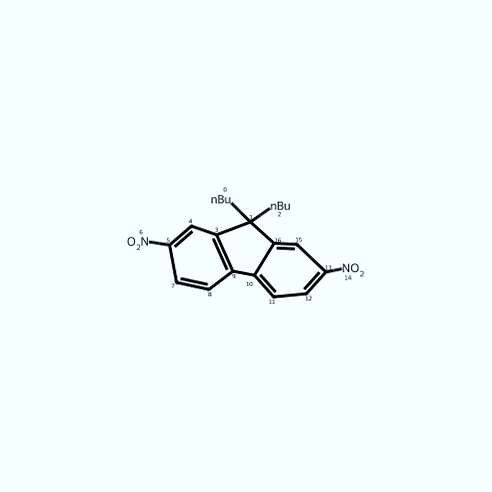 CCCCC1(CCCC)c2cc([N+](=O)[O-])ccc2-c2ccc([N+](=O)[O-])cc21